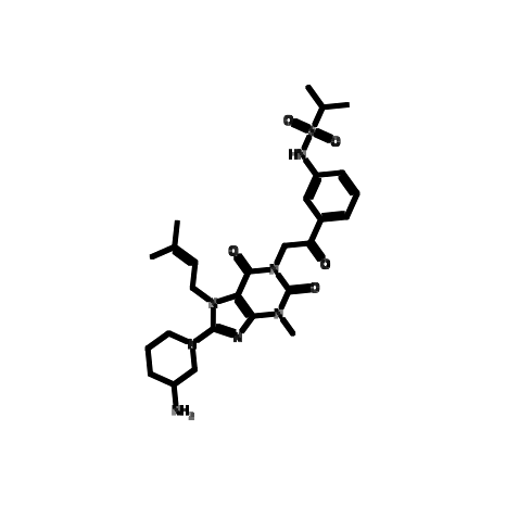 CC(C)=CCn1c(N2CCCC(N)C2)nc2c1c(=O)n(CC(=O)c1cccc(NS(=O)(=O)C(C)C)c1)c(=O)n2C